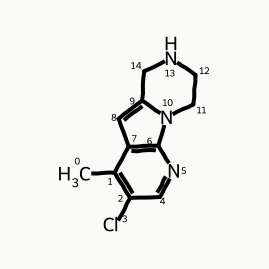 Cc1c(Cl)cnc2c1cc1n2CCNC1